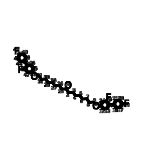 O=C(CCCCCCCCOc1ccc(-c2ccc(F)cc2)c(F)c1)CCCCCCCCOc1ccc(-c2ccc(F)cc2)c(F)c1